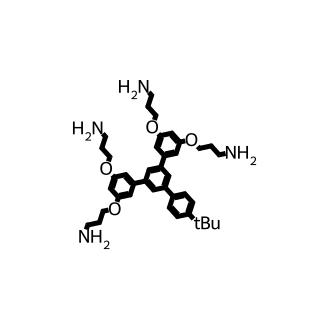 CC(C)(C)c1ccc(-c2cc(-c3cc(OCCCN)cc(OCCCN)c3)cc(-c3cc(OCCCN)cc(OCCCN)c3)c2)cc1